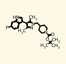 Cc1nn(CC2CCN(C(=O)OC(C)(C)C)CC2)c(C)c1-c1c[nH]c2cc(F)ccc12